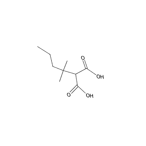 CCCC(C)(C)C(C(=O)O)C(=O)O